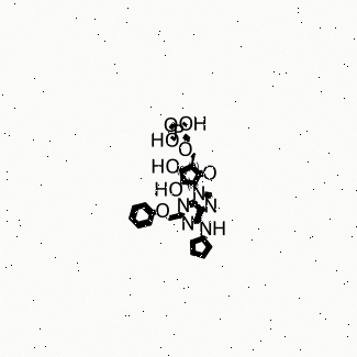 O=C1[C@H](COCP(=O)(O)O)[C@H](O)[C@H](O)[C@H]1n1cnc2c(NC3CCCC3)nc(COc3ccccc3)nc21